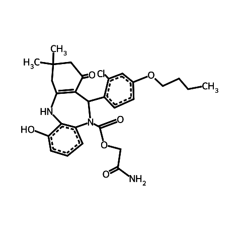 CCCCOc1ccc(C2C3=C(CC(C)(C)CC3=O)Nc3c(O)cccc3N2C(=O)OCC(N)=O)c(Cl)c1